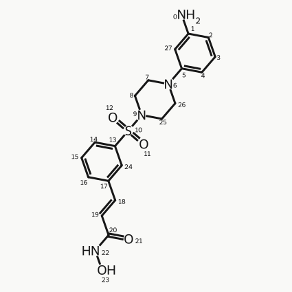 Nc1cccc(N2CCN(S(=O)(=O)c3cccc(/C=C/C(=O)NO)c3)CC2)c1